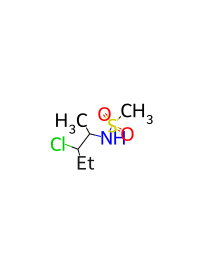 CCC(Cl)C(C)NS(C)(=O)=O